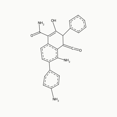 NC(=O)C1=C(O)C(c2ccccc2)C(=C=O)c2c1ccc(-c1ccc(N)cc1)c2N